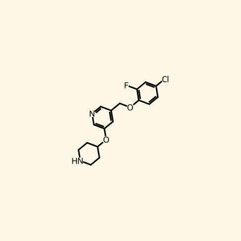 Fc1cc(Cl)ccc1OCc1cncc(OC2CCNCC2)c1